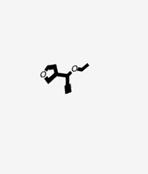 C#CC(OCC)c1ccoc1